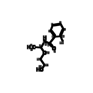 CC(NC(=O)c1ccccc1I)OCCO